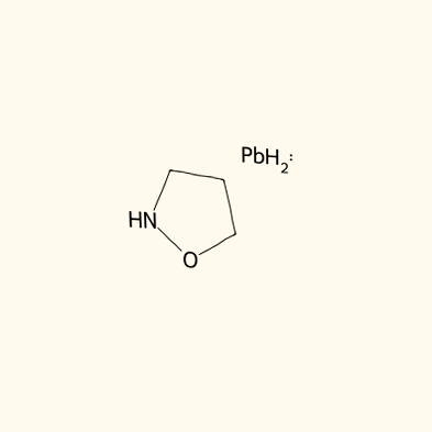 C1CNOC1.[PbH2]